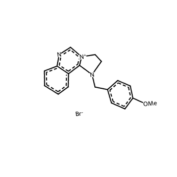 COc1ccc(CN2CC[n+]3cnc4ccccc4c32)cc1.[Br-]